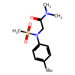 CN(C)C(=O)CN(c1ccc(C(C)(C)C)cc1)S(C)(=O)=O